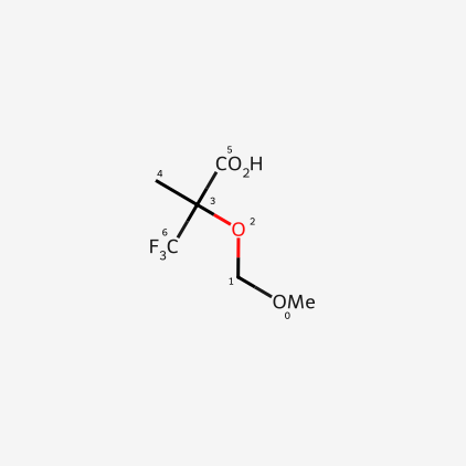 COCOC(C)(C(=O)O)C(F)(F)F